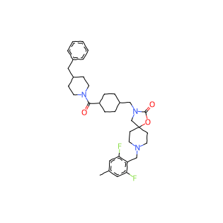 Cc1cc(F)c(CN2CCC3(CC2)CN(CC2CCC(C(=O)N4CCC(Cc5ccccc5)CC4)CC2)C(=O)O3)c(F)c1